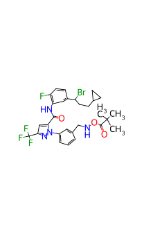 CC(C)(C)C(=O)ONCc1cccc(-n2nc(C(F)(F)F)cc2C(=O)Nc2cc(C(Br)CCC3CC3)ccc2F)c1